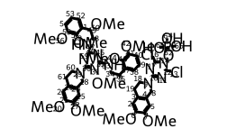 COc1cc2c(cc1OC)CN(c1nc(Cl)nc(Cl)n1)CC2.COc1cc2c(cc1OC)CN(c1nc(NCC(OC)c3cccc(OC)c3OC)nc(NCC(OC)c3cccc(OC)c3OC)n1)CC2.O=P(O)(O)O